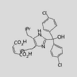 CC(C)Cc1nc(C(O)(c2ccc(Cl)cc2)c2ccc(Cl)cc2)[nH]c1CC(C)C.O=C(O)/C=C\C(=O)O